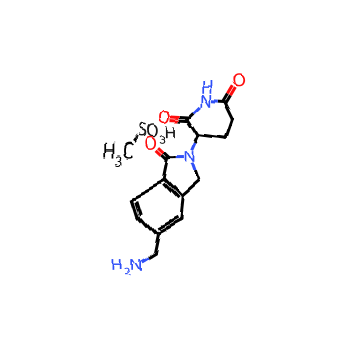 CS(=O)(=O)O.NCc1ccc2c(c1)CN(C1CCC(=O)NC1=O)C2=O